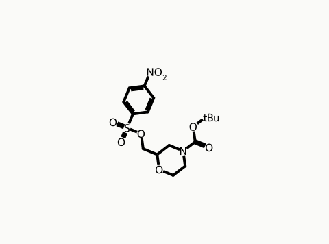 CC(C)(C)OC(=O)N1CCOC(COS(=O)(=O)c2ccc([N+](=O)[O-])cc2)C1